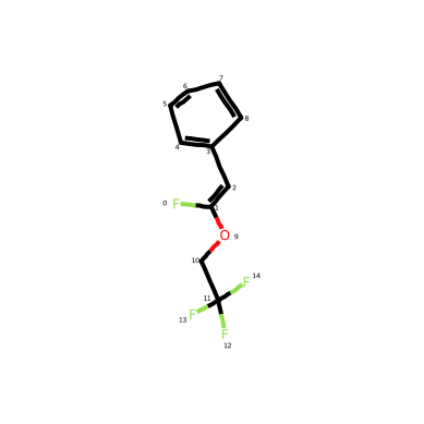 FC(=Cc1ccccc1)OCC(F)(F)F